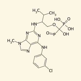 CC(C)C(COC(O)(P=O)P(=O)(O)O)Nc1nc(Nc2cccc(Cl)c2)c2ncn(C)c2n1